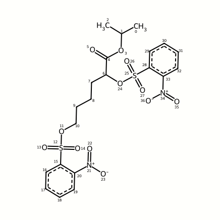 CC(C)OC(=O)C(CCCCOS(=O)(=O)c1ccccc1[N+](=O)[O-])OS(=O)(=O)c1ccccc1[N+](=O)[O-]